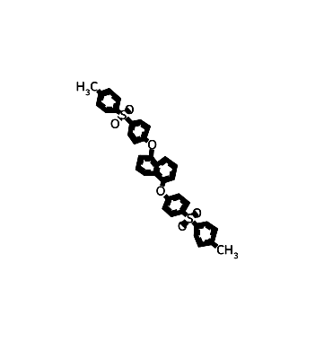 Cc1ccc(S(=O)(=O)c2ccc(Oc3cccc4c(Oc5ccc(S(=O)(=O)c6ccc(C)cc6)cc5)cccc34)cc2)cc1